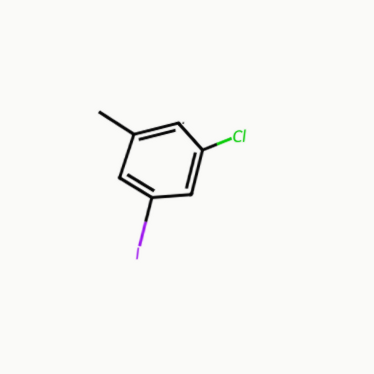 Cc1[c]c(Cl)cc(I)c1